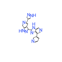 c1cncc(-c2cncc3[nH]c(-c4n[nH]c5cnc(-c6cn[nH]c6)cc45)nc23)c1